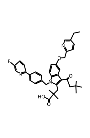 CCc1ccc(COc2ccc3c(c2)c(C(=O)CC(C)(C)C)c(CC(C)(C)C(=O)O)n3Cc2ccc(-c3ccc(F)cn3)cc2)nc1